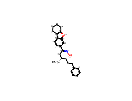 O=C(O)[C@@H](CCCc1ccccc1)CC(=NO)c1ccc2c3c(oc2c1)CCCC3